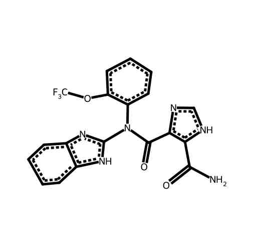 NC(=O)c1[nH]cnc1C(=O)N(c1nc2ccccc2[nH]1)c1ccccc1OC(F)(F)F